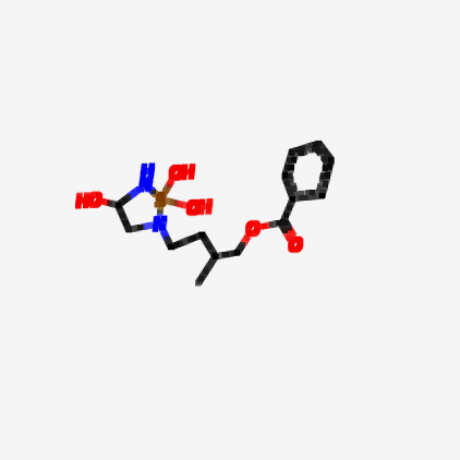 CC(CCN1CC(O)NS1(O)O)COC(=O)c1ccccc1